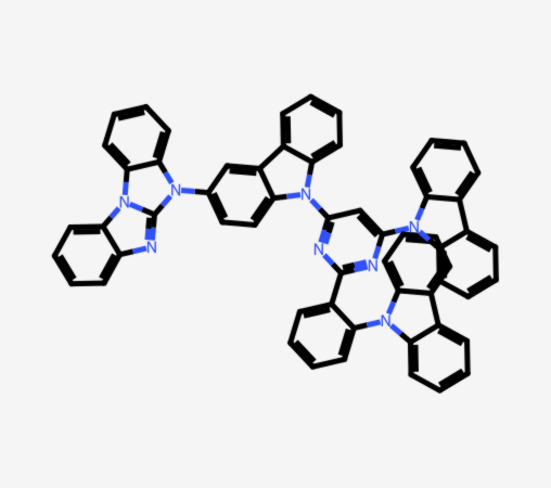 c1ccc(-n2c3ccccc3c3ccccc32)c(-c2nc(-n3c4ccccc4c4ccccc43)cc(-n3c4ccccc4c4cc(-n5c6ccccc6n6c7ccccc7nc56)ccc43)n2)c1